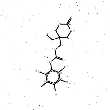 CCC1(COC(=O)Oc2c(F)c(C)c(F)c(F)c2F)COC(=O)OC1